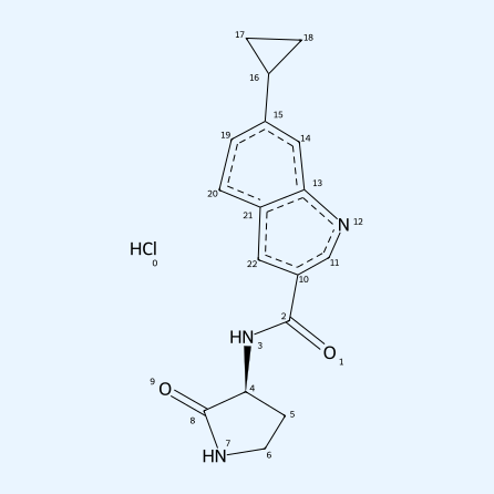 Cl.O=C(N[C@H]1CCNC1=O)c1cnc2cc(C3CC3)ccc2c1